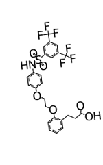 O=C(O)CCc1ccccc1OCCOc1ccc(NS(=O)(=O)c2cc(C(F)(F)F)cc(C(F)(F)F)c2)cc1